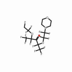 O=C(C(F)(OC(F)(F)CF)C(F)(F)F)C(F)(OC(F)(F)C(F)(F)N1CCOCC1)C(F)(F)F